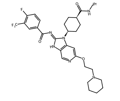 CC(C)NC(=O)[C@H]1CC[C@@H](n2/c(=N/C(=O)c3ccc(F)c(C(F)(F)F)c3)[nH]c3cnc(OCCN4CCCCC4)cc32)CC1